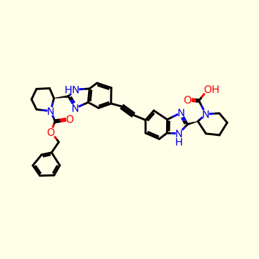 O=C(O)N1CCCC[C@H]1c1nc2cc(C#Cc3ccc4[nH]c([C@@H]5CCCCN5C(=O)OCc5ccccc5)nc4c3)ccc2[nH]1